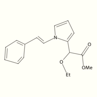 CCOC(C(=O)OC)c1cccn1C=Cc1ccccc1